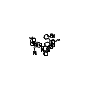 C=CCOC(=O)C1(Cc2ccccc2Br)CCc2c(nc(Cl)nc2N2CCN(C(=O)OC(C)(C)C)[C@@H](CC#N)C2)C1=O